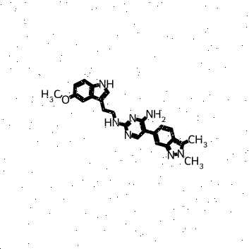 COc1ccc2[nH]cc(CCNc3ncc(-c4ccc5c(C)n(C)nc5c4)c(N)n3)c2c1